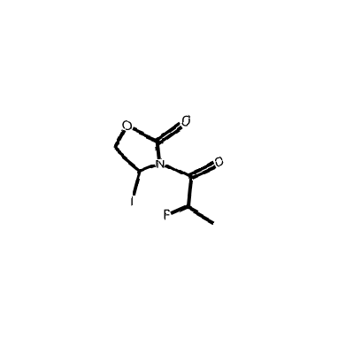 CC(F)C(=O)N1C(=O)OCC1I